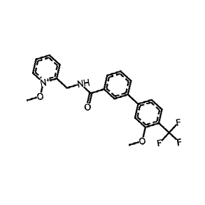 COc1cc(-c2cccc(C(=O)NCc3cccc[n+]3OC)c2)ccc1C(F)(F)F